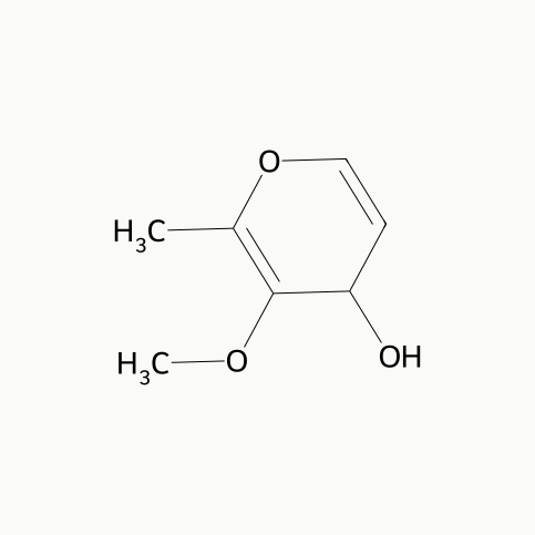 COC1=C(C)OC=CC1O